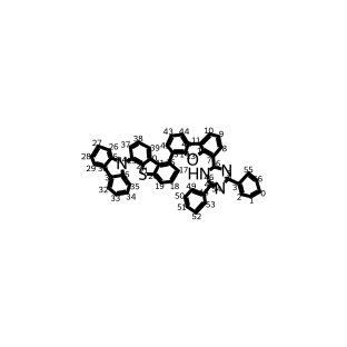 c1ccc(C2=NC(c3cccc4c3oc3c(-c5cccc6sc7c(-n8c9ccccc9c9ccccc98)cccc7c56)cccc34)NC(c3ccccc3)=N2)cc1